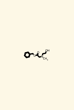 CN(CCO)CC(=O)OCc1ccccc1